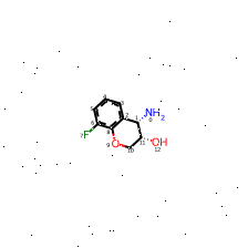 N[C@H]1c2cccc(F)c2OC[C@H]1O